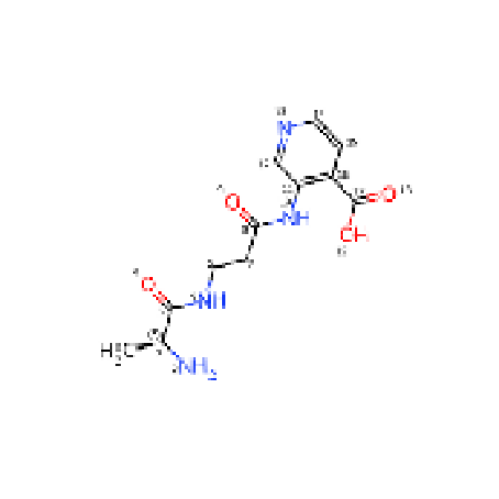 C[C@H](N)C(=O)NCCC(=O)Nc1cnccc1C(=O)O